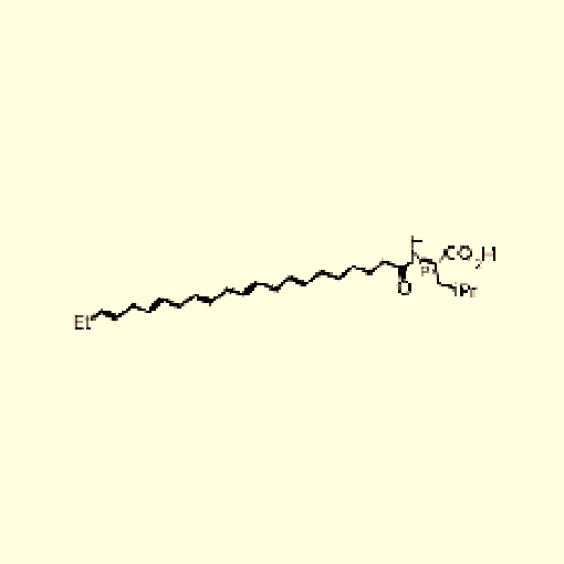 CCC=CCC=CCC=CCC=CCC=CCCCCCC(=O)N[C@@H](CC(C)C)C(=O)O